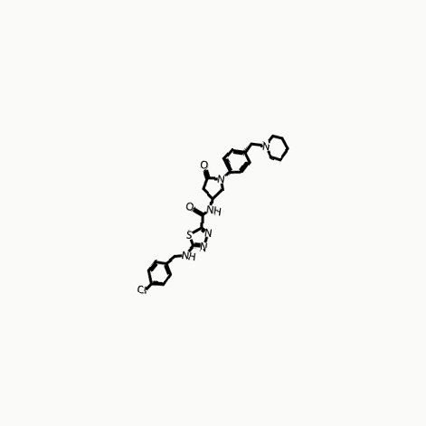 O=C(NC1CC(=O)N(c2ccc(CN3CCCCC3)cc2)C1)c1nnc(NCc2ccc(Cl)cc2)s1